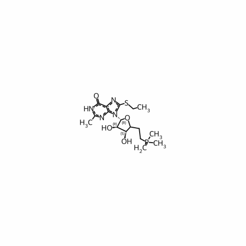 C=P(C)(C)CCC1O[C@@H](n2c(SCC)nc3c(=O)[nH]c(C)nc32)[C@H](O)[C@@H]1O